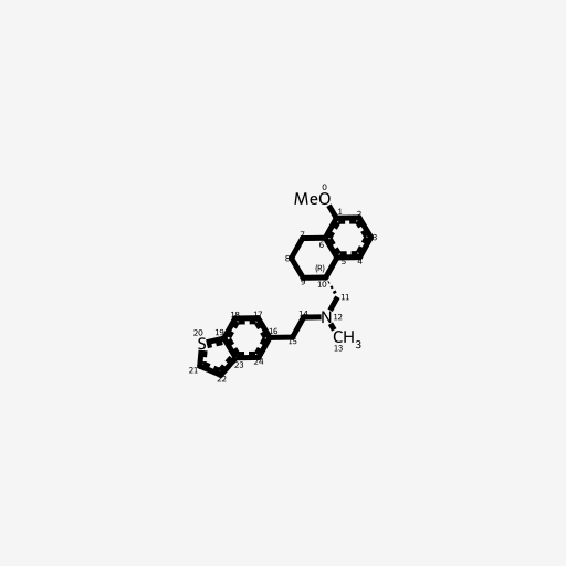 COc1cccc2c1CCC[C@H]2CN(C)CCc1ccc2sccc2c1